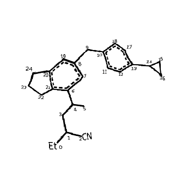 CCC(C#N)CC(C)c1cc(Cc2ccc(C3CC3)cc2)cc2c1CCC2